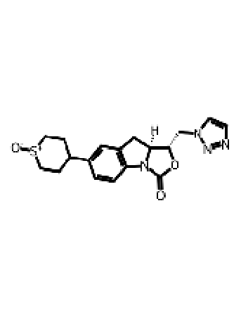 O=C1O[C@@H](Cn2ccnn2)[C@@H]2Cc3cc(C4CC[S+]([O-])CC4)ccc3N12